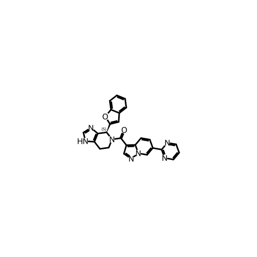 O=C(c1cnn2cc(-c3ncccn3)ccc12)N1CCc2[nH]cnc2[C@H]1c1cc2ccccc2o1